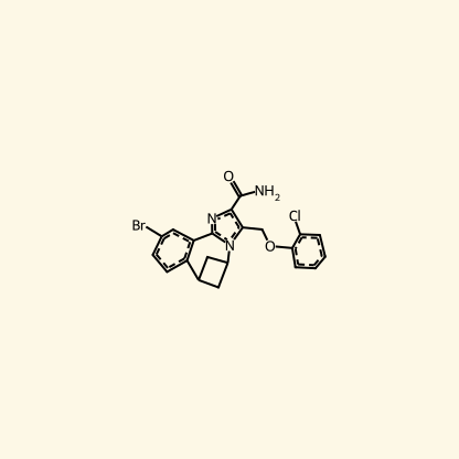 NC(=O)c1nc2n(c1COc1ccccc1Cl)C1CC(C1)c1ccc(Br)cc1-2